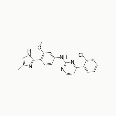 COc1cc(Nc2nccc(-c3ccccc3Cl)n2)ccc1-c1nc(C)c[nH]1